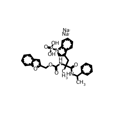 CC(NC(=O)C(C)(Cc1cn(P(=O)(O)O)c2ccccc12)NC(=O)OCc1cc2ccccc2o1)c1ccccc1.[Na].[Na]